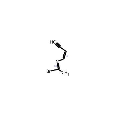 C#C/C=C\N=C(/C)Br